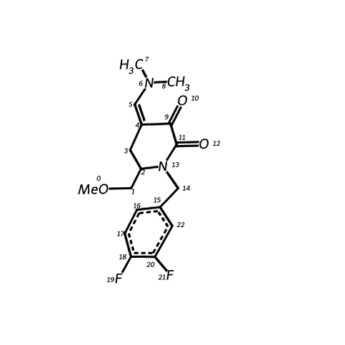 COCC1CC(=CN(C)C)C(=O)C(=O)N1Cc1ccc(F)c(F)c1